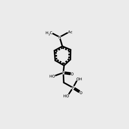 CC(=O)N(C)c1ccc(P(=O)(O)CP(=O)(O)O)cc1